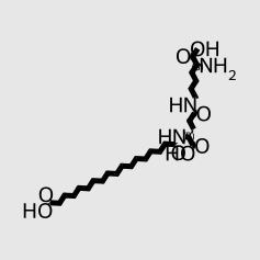 N[C@@H](CCCCNC(=O)CC[C@@H](NC(=O)CCCCCCCCCCCCCCCCC(=O)O)C(=O)O)C(=O)O